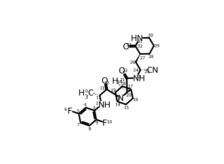 C[C@@H](Nc1cc(F)ccc1F)C(=O)N1C2CCC(CC2)[C@@H]1C(=O)N[C@@H](C#N)C[C@@H]1CCCNC1=O